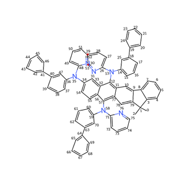 CC1(C)c2ccccc2-c2cc3c(N(c4cccc(-c5ccccc5)c4)c4ccccn4)c4cc(N(c5cccc(-c6ccccc6)c5)c5ccccn5)ccc4c(N(c4cccc(-c5ccccc5)c4)c4ccccn4)c3cc21